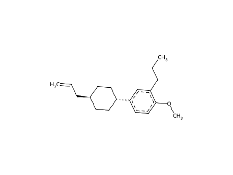 C=CC[C@H]1CC[C@H](c2ccc(OC)c(CCC)c2)CC1